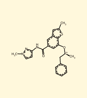 Cc1cc2cc(C(=O)Nc3ccn(C)n3)cc(O[C@@H](C)Cc3ccccc3)c2s1